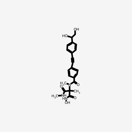 CNC(=O)C(C)(C(=O)NO)N(C)C(=O)c1ccc(C#Cc2ccc(C(O)CO)cc2)cc1